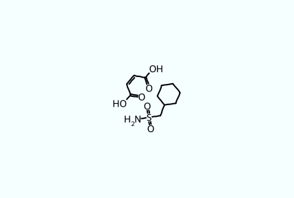 NS(=O)(=O)CC1CCCCC1.O=C(O)/C=C\C(=O)O